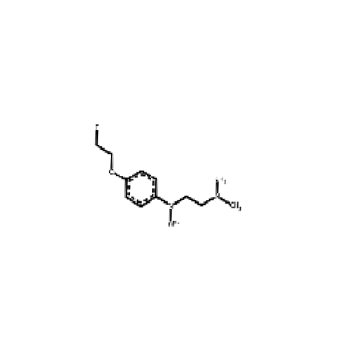 CCCN(CCN(C)C)c1ccc(OCCF)cc1